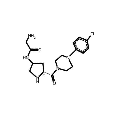 NCC(=O)NC1CN[C@@H](C(=O)N2CCN(c3ccc(Cl)cc3)CC2)C1